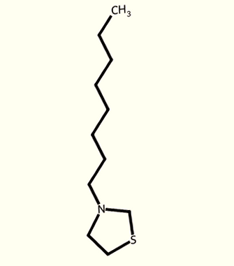 CCCCCCCCN1CCSC1